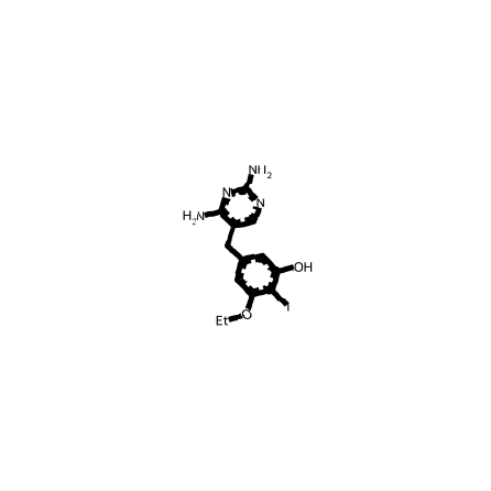 CCOc1cc(Cc2cnc(N)nc2N)cc(O)c1I